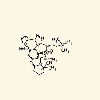 COc1cccc(OC)c1-n1c(-c2ccco2)nnc1N(CC[Si](C)(C)C)S(=O)(=O)[C@H](C)CN1C(=O)CCC[C@]1(C)C#N